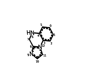 c1ccc2c(c1)NCc1nccn1-2